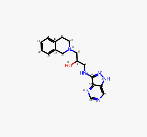 OC(CNc1n[nH]c2cncnc12)CN1CCc2ccccc2C1